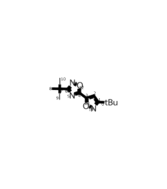 CC(C)(C)c1cc(-c2nc(C(C)(I)I)no2)on1